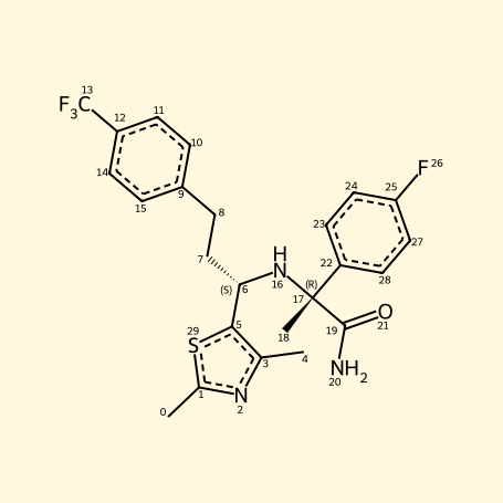 Cc1nc(C)c([C@H](CCc2ccc(C(F)(F)F)cc2)N[C@@](C)(C(N)=O)c2ccc(F)cc2)s1